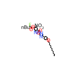 C=CCCCCCCCCCOc1ccc(-c2cnc(OC(=O)c3cc([N+](=O)[O-])c(OC(=O)[C@H](F)CCCC)cc3N)cn2)cc1